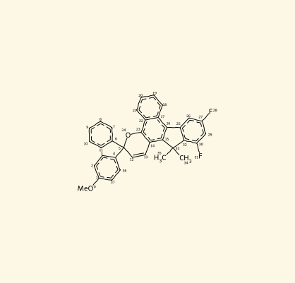 COc1ccc(C2(c3ccccc3)C=Cc3c4c(c5ccccc5c3O2)-c2cc(F)cc(F)c2C4(C)C)cc1